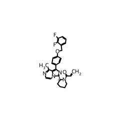 C=CC(=O)N1CCCC[C@H]1c1nc(-c2ccc(OCc3cccc(F)c3F)cc2)c2c(C)nccn12